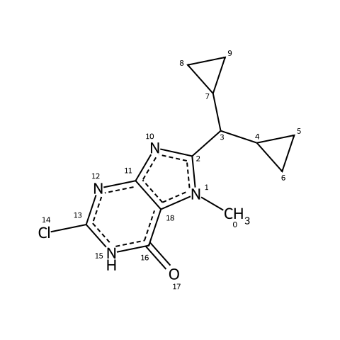 Cn1c(C(C2CC2)C2CC2)nc2nc(Cl)[nH]c(=O)c21